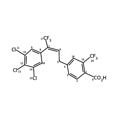 O=C(O)c1ccc(C/C=C(\c2cc(Cl)c(Cl)c(Cl)c2)C(F)(F)F)cc1C(F)(F)F